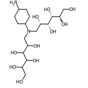 NC1CCC(N(CC(O)C(O)C(O)C(O)CO)C[C@H](O)[C@@H](O)[C@H](O)[C@H](O)CO)CC1